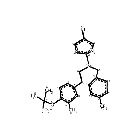 CCc1cnc(N(CCc2ccc(OC(C)(C)C(=O)O)c(C)c2)Cc2ccc(C(F)(F)F)cc2)nc1